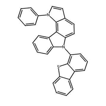 c1ccc(-n2ccc3ccc4c(c5ccccc5n4-c4cccc5c4sc4ccccc45)c32)cc1